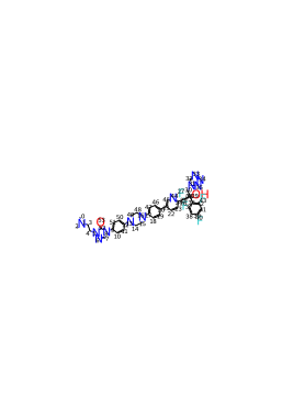 CN(C)CCn1ncn(-c2ccc(N3CCN(c4ccc(-c5ccc(C(F)(F)[C@](O)(Cn6cnnn6)c6ccc(F)cc6F)nc5)cc4)CC3)cc2)c1=O